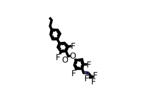 CCCc1ccc(-c2cc(F)c(C(=O)Oc3cc(F)c(/C=C/C(F)(F)F)c(F)c3)c(F)c2)cc1